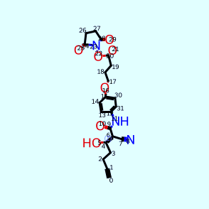 C#CCC/C(O)=C(\C#N)C(=O)Nc1ccc(OCCCC(=O)ON2C(=O)CCC2=O)cc1